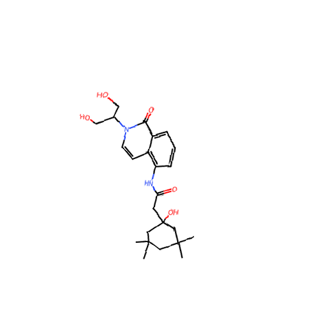 CC1(C)CC(C)(C)CC(O)(CC(=O)Nc2cccc3c(=O)n(C(CO)CO)ccc23)C1